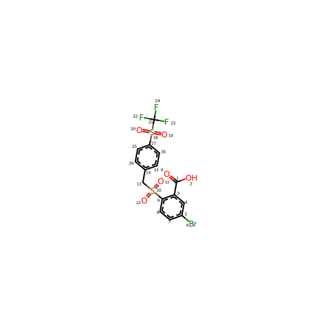 O=C(O)c1cc(Br)ccc1S(=O)(=O)Cc1ccc(S(=O)(=O)C(F)(F)F)cc1